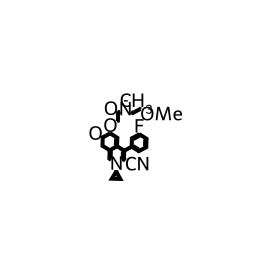 COCCN(C)C(=O)COC1C=C2C(=CN(C3CC3)C(C#N)=C2c2cccc(F)c2)CC1=O